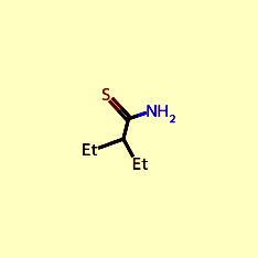 CCC(CC)C(N)=S